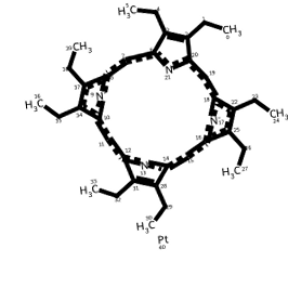 CCC1=C(CC)c2cc3[n-]c(cc4nc(cc5[n-]c(cc1n2)c(CC)c5CC)C(CC)=C4CC)c(CC)c3CC.[Pt]